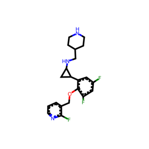 Fc1cc(F)c(OCc2cccnc2F)c(C2CC2NCC2CCNCC2)c1